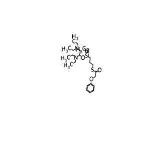 CCN(CC)CC(O[SiH](CCCSC(=O)COc1ccccc1)OC)N(CC)CC